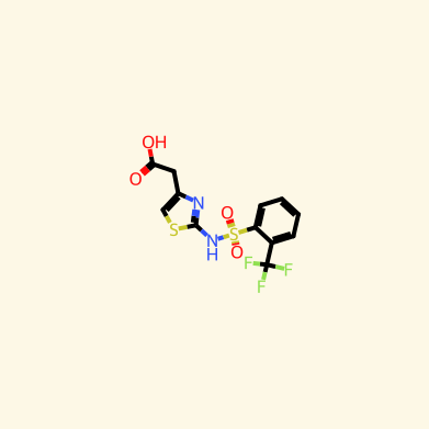 O=C(O)Cc1csc(NS(=O)(=O)c2ccccc2C(F)(F)F)n1